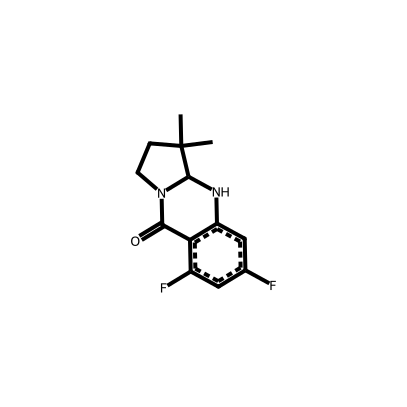 CC1(C)CCN2C(=O)c3c(F)cc(F)cc3NC21